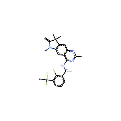 C=C1N(C)c2cc3c(N[C@H](C)c4cccc(C(F)(F)C(C)C)c4F)nc(C)nc3cc2C1(C)C